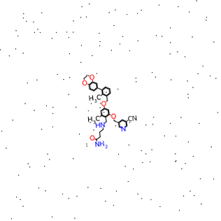 Cc1cc(OCc2cccc(-c3ccc4c(c3)OCCO4)c2C)cc(OCc2cncc(C#N)c2)c1CNCCCC(N)=O